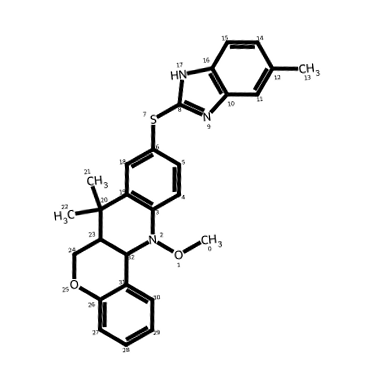 CON1c2ccc(Sc3nc4cc(C)ccc4[nH]3)cc2C(C)(C)C2COc3ccccc3C21